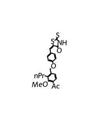 CCCc1c(COc2ccc(C=C3SC(=S)NC3=O)cc2)ccc(C(C)=O)c1OC